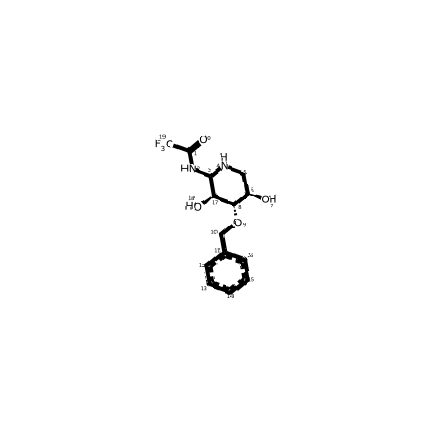 O=C(NC1NC[C@@H](O)[C@H](OCc2ccccc2)[C@H]1O)C(F)(F)F